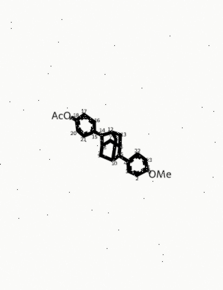 COc1ccc(C2C3CC4CC2CC(C3)C4c2ccc(OC(C)=O)cc2)cc1